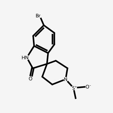 C[S+]([O-])N1CCC2(CC1)C(=O)Nc1cc(Br)ccc12